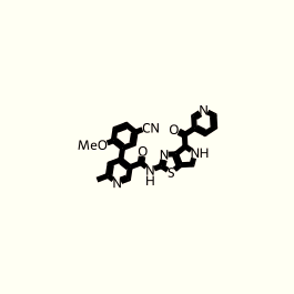 COc1ccc(C#N)cc1-c1cc(C)ncc1C(=O)Nc1nc2c(s1)CNC2C(=O)c1cccnc1